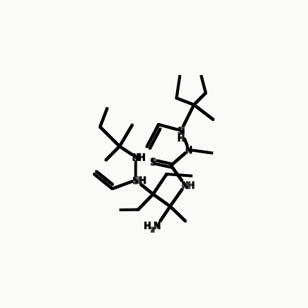 C=C[SiH](N(C)C(=S)NC(C)(N)C(CC)(CC)[SiH](C=C)NC(C)(C)CC)C(C)(CC)CC